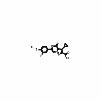 COc1ccc(-c2cn3nc(C(=O)O)c(C4CC4)c3c(=O)[nH]2)cc1F